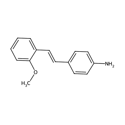 COc1ccccc1C=Cc1ccc(N)cc1